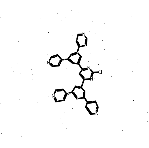 Clc1nc(-c2cc(-c3ccncc3)cc(-c3ccncc3)c2)cc(-c2cc(-c3ccncc3)cc(-c3ccncc3)c2)n1